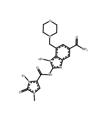 CCCn1c(NC(=O)c2cn(C)c(=O)n2CC)nc2cc(C(N)=O)cc(CN3CCOCC3)c21